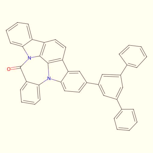 O=c1c2ccccc2n2c3ccc(-c4cc(-c5ccccc5)cc(-c5ccccc5)c4)cc3c3ccc4c5ccccc5n1c4c32